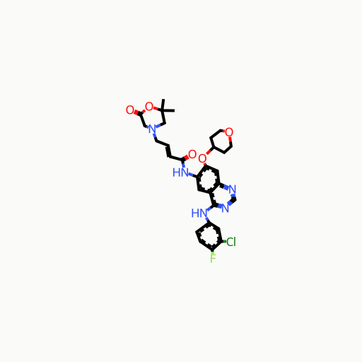 CC1(C)CN(CC=CC(=O)Nc2cc3c(Nc4ccc(F)c(Cl)c4)ncnc3cc2OC2CCOCC2)CC(=O)O1